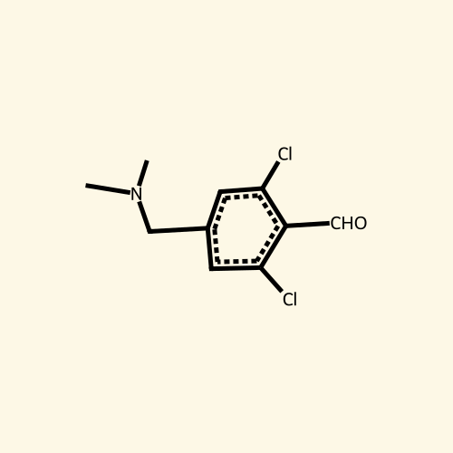 CN(C)Cc1cc(Cl)c(C=O)c(Cl)c1